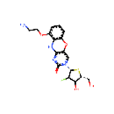 NCCOc1cccc2c1Nc1nc(=O)n([C@@H]3S[C@H](CO)C(O)C3F)cc1O2